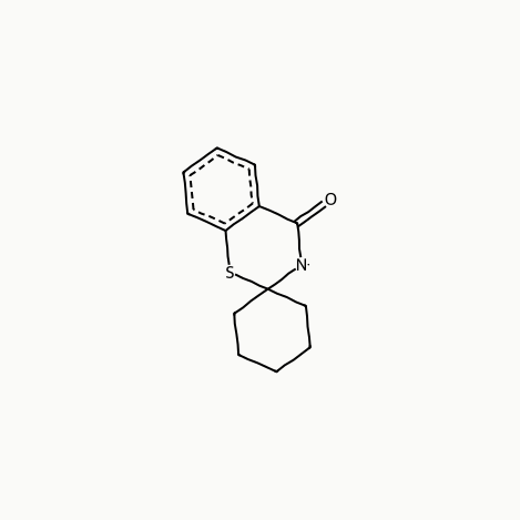 O=C1[N]C2(CCCCC2)Sc2ccccc21